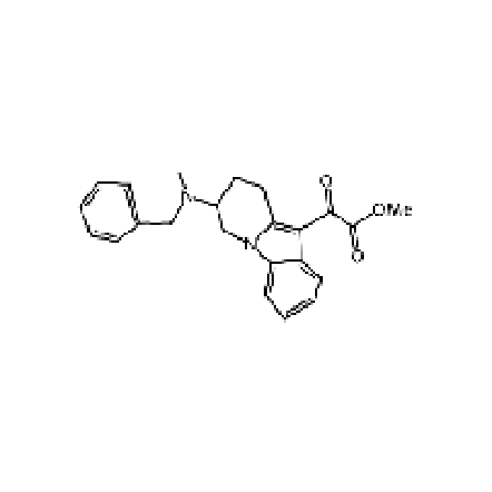 COC(=O)C(=O)c1c2n(c3ccccc13)CC(N(C)Cc1ccccc1)CC2